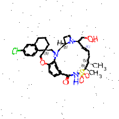 C[C@@H]1[C@@H](C)C/C=C/C(CO)N2CC[C@H]2CN2C[C@@]3(CCCc4cc(Cl)ccc43)COc3ccc(cc32)C(=O)NS1(=O)=O